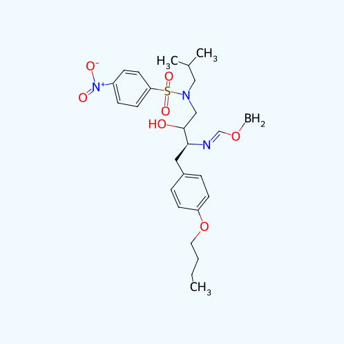 BOC=N[C@@H](Cc1ccc(OCCCC)cc1)C(O)CN(CC(C)C)S(=O)(=O)c1ccc([N+](=O)[O-])cc1